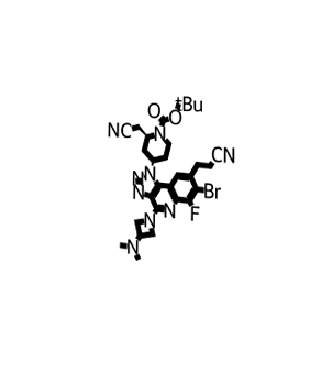 CN(C)C1CN(c2nc3c(F)c(Br)c(CCC#N)cc3c3c2nnn3[C@H]2CCN(C(=O)OC(C)(C)C)[C@H](CC#N)C2)C1